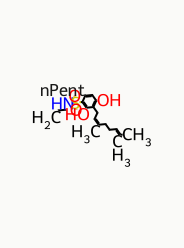 C=CCNS(=O)(=O)c1c(CCCCC)cc(O)c(CC=C(C)CCC=C(C)C)c1O